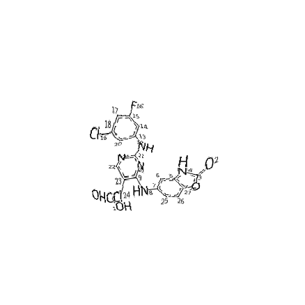 O=CO.O=c1[nH]c2cc(Nc3nc(Nc4cc(F)cc(Cl)c4)ncc3Cl)ccc2o1